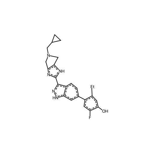 CCc1cc(O)c(F)cc1-c1ccc2c(-c3nc4c([nH]3)CN(CC3CC3)C4)n[nH]c2c1